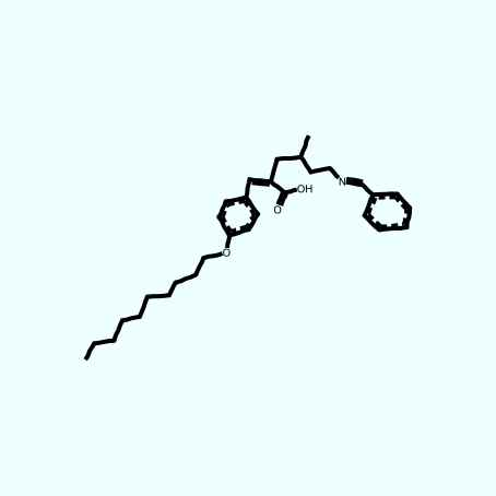 CCCCCCCCCCOc1ccc(C=C(CC(C)CCN=Cc2ccccc2)C(=O)O)cc1